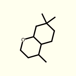 CC1CCOC2CC(C)(C)CCC12